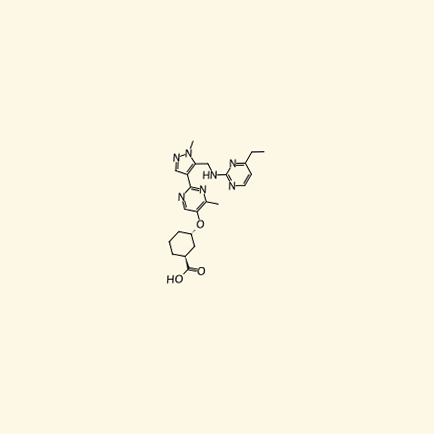 CCc1ccnc(NCc2c(-c3ncc(O[C@H]4CCC[C@H](C(=O)O)C4)c(C)n3)cnn2C)n1